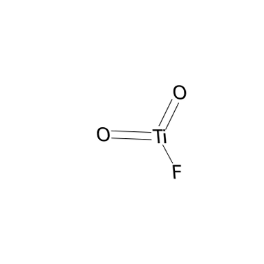 [O]=[Ti](=[O])[F]